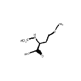 CCCCSCCC(NC(=O)O)C(=O)OC